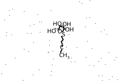 CCCCCCCCSC1O[C@H](CO)[C@@H](O)[C@H](O)[C@H]1O